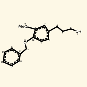 COc1cc(CCCO)ccc1OCc1ccccc1